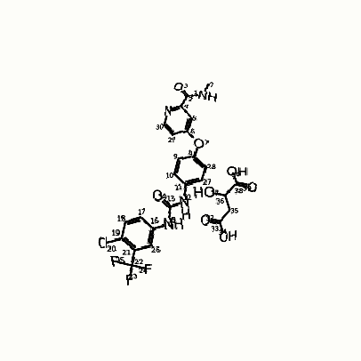 CNC(=O)c1cc(Oc2ccc(NC(=O)Nc3ccc(Cl)c(C(F)(F)F)c3)cc2)ccn1.O=C(O)CC(O)C(=O)O